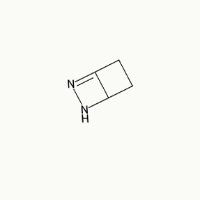 C1CC2NN=C12